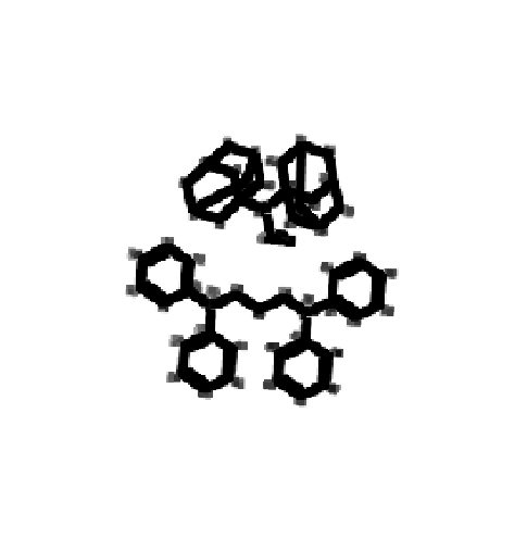 CCCCP(C12CC3CC(CC(C3)C1)C2)C12CC3CC(CC(C3)C1)C2.c1ccc(P(CCCP(c2ccccc2)c2ccccc2)c2ccccc2)cc1